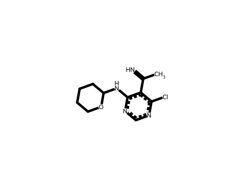 CC(=N)c1c(Cl)ncnc1NC1CCCCO1